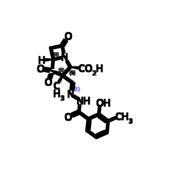 Cc1cccc(C(=O)N/N=C/[C@@]2(C)[C@H](C(=O)O)N3C(=O)C[C@H]3S2(=O)=O)c1O